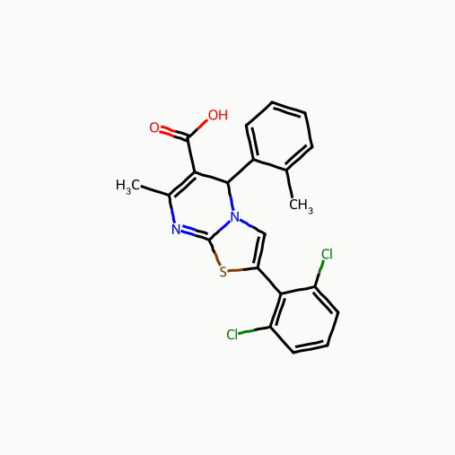 CC1=C(C(=O)O)C(c2ccccc2C)N2C=C(c3c(Cl)cccc3Cl)SC2=N1